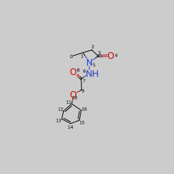 CC1CC(=O)N1NC(=O)COc1ccccc1